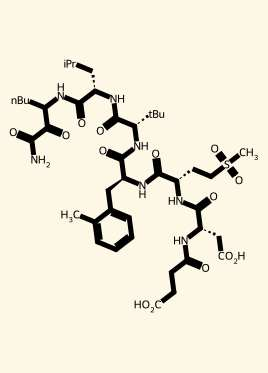 CCCCC(NC(=O)[C@H](CC(C)C)NC(=O)[C@@H](NC(=O)[C@H](Cc1ccccc1C)NC(=O)[C@H](CCS(C)(=O)=O)NC(=O)[C@H](CC(=O)O)NC(=O)CCC(=O)O)C(C)(C)C)C(=O)C(N)=O